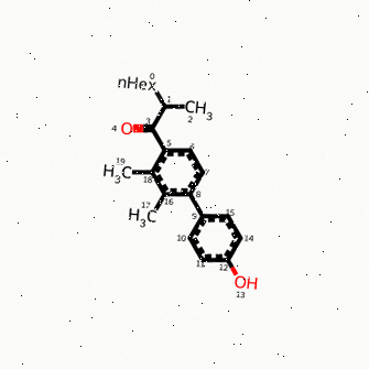 CCCCCCC(C)C(=O)c1ccc(-c2ccc(O)cc2)c(C)c1C